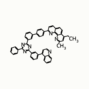 CCc1cc(C)nc2c1ccc1ccc(-c3ccc(-c4cccc(-c5nc(-c6ccccc6)nc(-c6cccc(-c7ccnc8ccccc78)c6)n5)c4)cc3)nc12